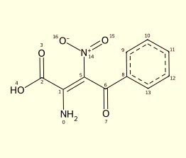 NC(C(=O)O)=C(C(=O)c1ccccc1)[N+](=O)[O-]